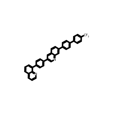 FC(F)(F)c1ccc(-c2ccc(-c3ccc4cc(-c5ccc(-c6cccc7cccnc67)cc5)cnc4c3)cc2)cc1